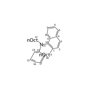 CCCCCCCCc1ccc2ccccc2c1N(CCCCCCCC)c1ccccc1